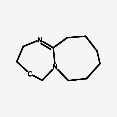 C1CCCN2CCCCN=C2CC1